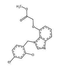 COC(=O)COc1cccc2ncn(Cc3ccc(Cl)cc3Cl)c12